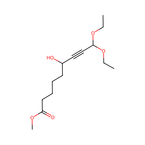 CCOC(C#CC(O)CCCCC(=O)OC)OCC